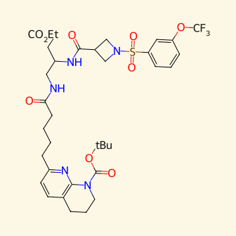 CCOC(=O)CC(CNC(=O)CCCCc1ccc2c(n1)N(C(=O)OC(C)(C)C)CCC2)NC(=O)C1CN(S(=O)(=O)c2cccc(OC(F)(F)F)c2)C1